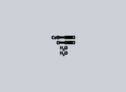 O.O.O=B[O-].O=B[O-].[Ca+2]